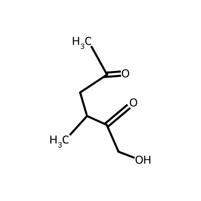 CC(=O)CC(C)C(=O)CO